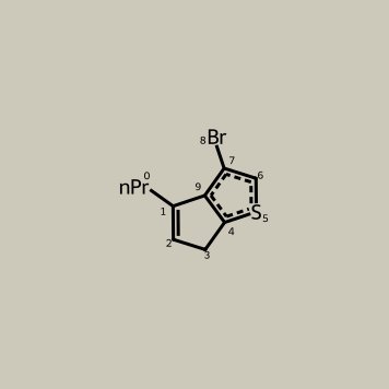 CCCC1=CCc2scc(Br)c21